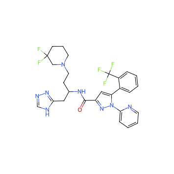 O=C(NC(CCN1CCCC(F)(F)C1)Cc1nnc[nH]1)c1cc(-c2ccccc2C(F)(F)F)n(-c2ccccn2)n1